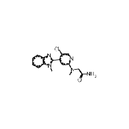 CN(CC(N)=O)c1cc(-c2nc3ccccc3n2C)c(Cl)cn1